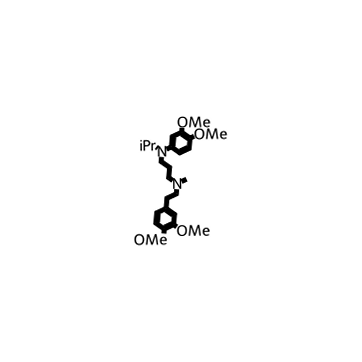 COc1ccc(CCN(C)CCCN(c2ccc(OC)c(OC)c2)C(C)C)cc1OC